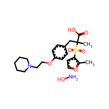 Cc1occc1S(=O)(=O)C(C)(Cc1ccc(OCCN2CCCCC2)cc1)C(=O)O.NO